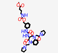 COC(=O)CCCNC(=O)OCc1cccc(NC(=O)NC2C(=O)N(CC(=O)N3CCCC3)c3ccccc3N(CC(=O)N3CCCC3)C2=O)c1